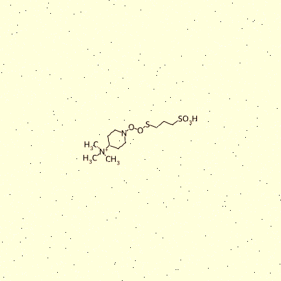 C[N+](C)(C)C1CCN(OOSCCCS(=O)(=O)O)CC1